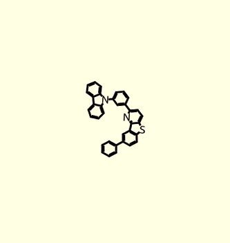 c1ccc(-c2ccc3sc4ccc(-c5cccc(-n6c7ccccc7c7ccccc76)c5)nc4c3c2)cc1